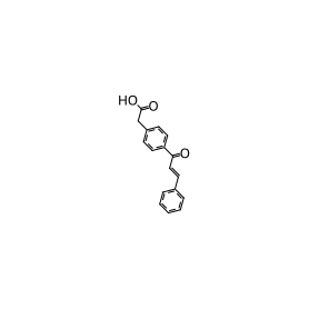 O=C(O)Cc1ccc(C(=O)C=Cc2ccccc2)cc1